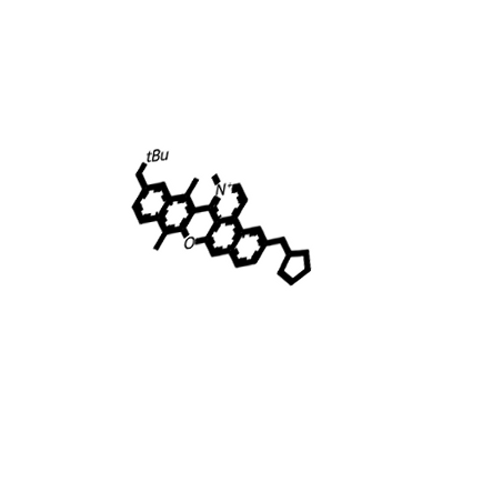 Cc1c2c(c(C)c3cc(CC(C)(C)C)ccc13)-c1c3c(cc4ccc(CC5CCCC5)cc4c3cc[n+]1C)O2